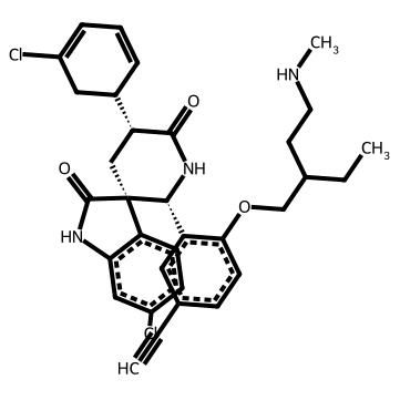 C#Cc1ccc(OCC(CC)CCNC)c([C@H]2NC(=O)[C@@H](C3C=CC=C(Cl)C3)C[C@]23C(=O)Nc2cc(Cl)ccc23)c1